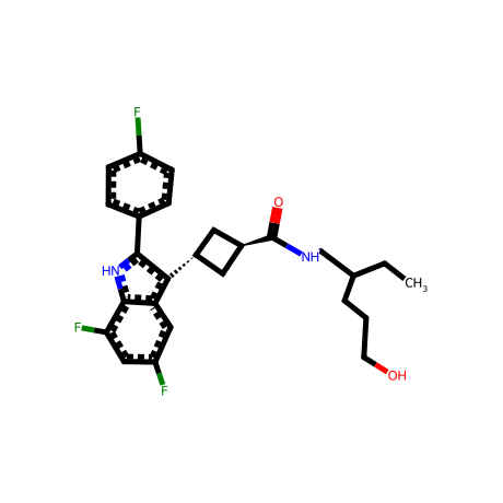 CCC(CCCO)CNC(=O)[C@H]1C[C@H](c2c(-c3ccc(F)cc3)[nH]c3c(F)cc(F)cc32)C1